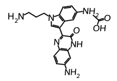 CC(=O)O.NCCCn1cc(-c2nc3ccc(N)cc3[nH]c2=O)c2cc(N)ccc21